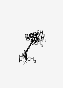 COC(=O)C1=C(C)NC(C)=C(C(=O)OCCCCCCOc2cc(C(C)C)[nH]n2)C1c1cccc([N+](=O)[O-])c1